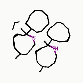 CC1CCCPC(C)(C2CCCCCCCC2)CCC1.CC1CCCPC(C)(C2CCCCCCCC2)CCC1.CCC